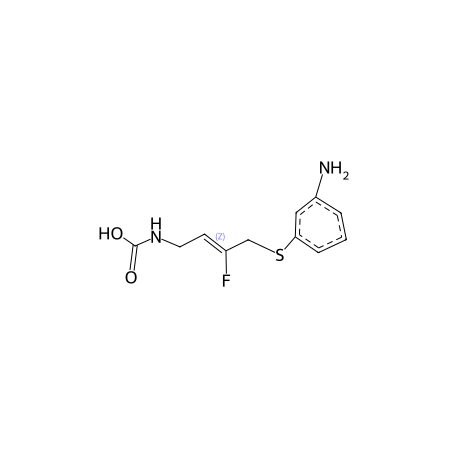 Nc1cccc(SC/C(F)=C/CNC(=O)O)c1